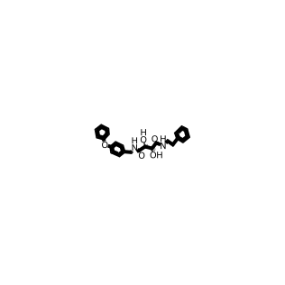 O=C(NCCc1ccccc1)[C@H](O)[C@@H](O)C(=O)NCc1ccc(Oc2ccccc2)cc1